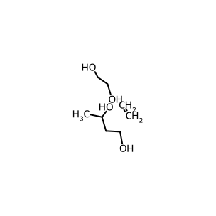 C=C.CC(O)CCO.OCCO